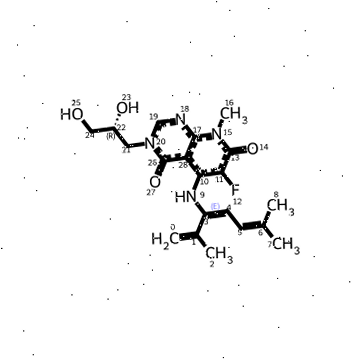 C=C(C)/C(=C\C=C(C)C)Nc1c(F)c(=O)n(C)c2ncn(C[C@@H](O)CO)c(=O)c12